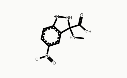 CNC1(C(=O)O)NNc2ccc([N+](=O)[O-])cc21